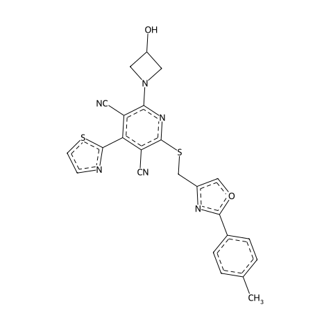 Cc1ccc(-c2nc(CSc3nc(N4CC(O)C4)c(C#N)c(-c4nccs4)c3C#N)co2)cc1